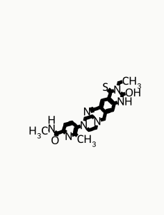 CCN1C(=S)c2cc(C#N)c(CN3CCN(c4ccc(C(=O)NC)nc4C)CC3)cc2NC1O